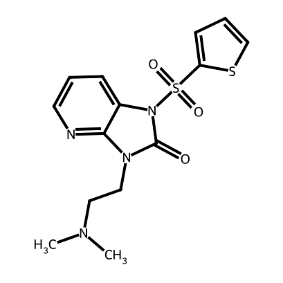 CN(C)CCn1c(=O)n(S(=O)(=O)c2cccs2)c2cccnc21